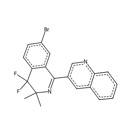 CC1(C)N=C(c2cnc3ccccc3c2)c2cc(Br)ccc2C1(F)F